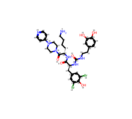 NCCCC[C@H](NC(=O)[C@H](Cc1cc(Br)c(O)c(Br)c1)NC(=O)NCCc1ccc(O)c(O)c1)C(=O)N1CCN(c2ccncc2)CC1